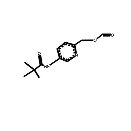 CC(C)(C)C(=O)Nc1ccc(COC=O)nc1